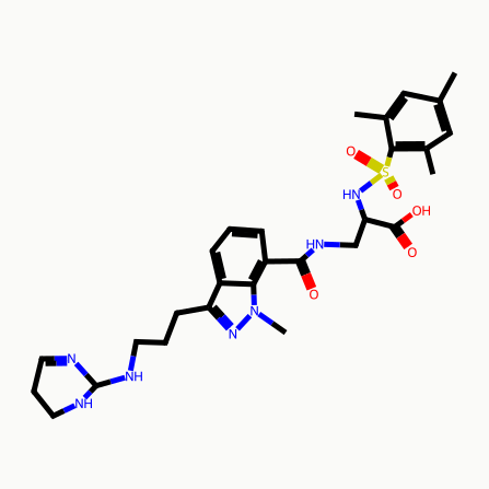 Cc1cc(C)c(S(=O)(=O)NC(CNC(=O)c2cccc3c(CCCNC4N=CCCN4)nn(C)c23)C(=O)O)c(C)c1